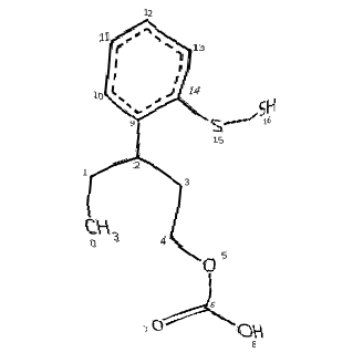 CCC(CCOC(=O)O)c1ccccc1SS